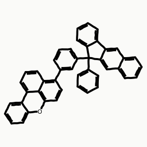 c1ccc(C2(c3cccc(-c4ccc5c6c(cccc46)-c4ccccc4O5)c3)c3ccccc3-c3cc4ccccc4cc32)cc1